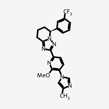 COc1nc(-c2nc3n(n2)[C@H](c2cccc(C(F)(F)F)c2)CCC3)ccc1-n1cnc(C)c1